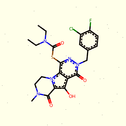 CCN(CC)C(=O)Sc1nn(Cc2ccc(F)c(Cl)c2)c(=O)c2c(O)c3n(c12)CCN(C)C3=O